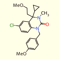 COCCC1(C2CC2)c2cc(Cl)ccc2N(Cc2ccc(OC)cc2)C(=O)N1C